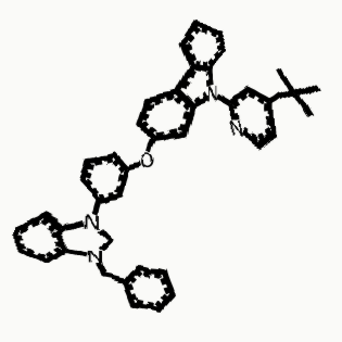 CC(C)(C)c1ccnc(-n2c3ccccc3c3ccc(Oc4cccc(N5CN(Cc6ccccc6)c6ccccc65)c4)cc32)c1